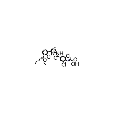 CCCC[C@@H](OCC)c1cccc(-c2csc(NC(=O)c3cc(Cl)c(/C=C(\C)C(=O)O)c(Cl)c3)n2)c1OC